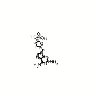 Nc1nc(N)c2ncn(C[C@H]3CC[C@H](P(=O)(O)O)O3)c2n1